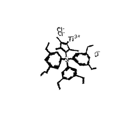 CCc1cc(CC)cc([Si](C2=C(C)C(C)=[C]([Ti+3])C2C)(c2cc(CC)cc(CC)c2)c2cc(CC)cc(CC)c2)c1.[Cl-].[Cl-].[Cl-]